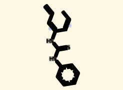 C=C/C=C(\C=C/C)NC(=S)Nc1ccccc1